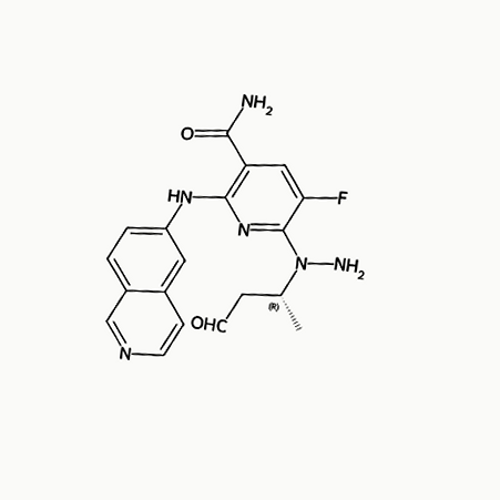 C[C@H](CC=O)N(N)c1nc(Nc2ccc3cnccc3c2)c(C(N)=O)cc1F